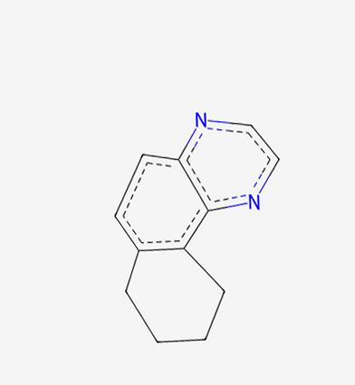 c1cnc2c3c(ccc2n1)CCCC3